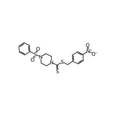 O=[N+]([O-])c1ccc(CSC(=S)N2CCN(S(=O)(=O)c3ccccc3)CC2)cc1